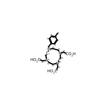 Cc1ccc(CN2CCN(CC(=O)O)CCN(CC(=O)O)CCN(CC(=O)O)CC2)cc1